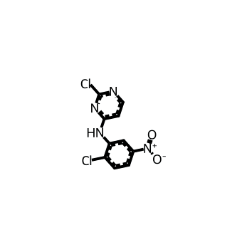 O=[N+]([O-])c1ccc(Cl)c(Nc2ccnc(Cl)n2)c1